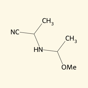 COC(C)NC(C)C#N